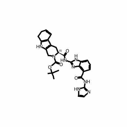 CC(C)(C)OC(=O)N1Cc2[nH]c3c(c2C[C@H]1C(=O)Nc1nc2c(C(=O)Nc4ncc[nH]4)cccc2[nH]1)C=CCC3